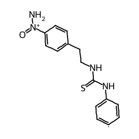 N[N+](=O)c1ccc(CCNC(=S)Nc2cc[c]cc2)cc1